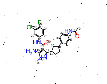 CC(=O)Nc1ccc(C2CCC(c3nn(C)c(N)c3C(=O)Nc3ccc(F)c(Cl)c3)C2)cc1